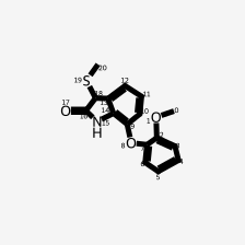 COc1ccccc1Oc1cccc2c1NC(=O)C2SC